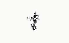 COc1cccc2c1nc(N)n1nc(CN3CCCc4cnccc43)nc21